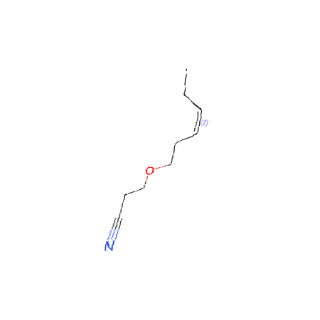 CC/C=C\CCOCCC#N